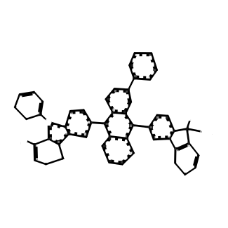 CC1=CCCc2c1p(C1=CC=CCC1)c1ccc(-c3c4ccccc4c(-c4ccc5c(c4)C4=C(C=CCC4)C5(C)C)c4cc(-c5ccccc5)ccc34)cc21